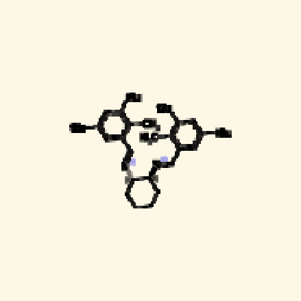 Cc1c(/C=N/[C@H]2CCCC[C@@H]2/N=C/c2cc(C(C)(C)C)cc(C(C)(C)C)c2C)cc(C(C)(C)C)cc1C(C)(C)C